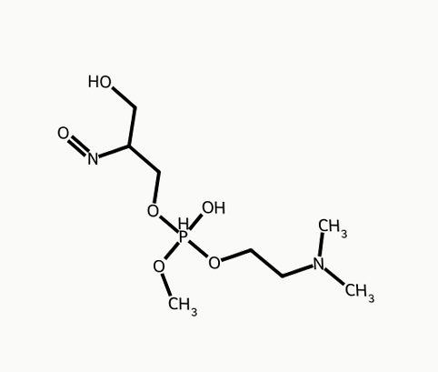 CO[PH](O)(OCCN(C)C)OCC(CO)N=O